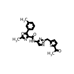 CC(=O)c1ccc(Cn2ncc(NC(=O)c3nc(C)oc3-c3cccc(C)c3)n2)s1